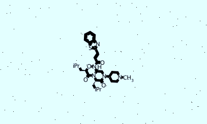 CC(C)C[C@H]1ON(C(=O)/C=C/c2nc3ccccc3s2)[C@H]2CN(C3CCN(C)CC3)C(=O)[C@H](CC(C)C)N2C1=O